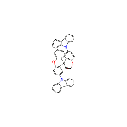 c1ccc2c(c1)Oc1ccc(-n3c4ccccc4c4ccccc43)cc1C21c2ccccc2Oc2ccc(-n3c4ccccc4c4ccccc43)cc21